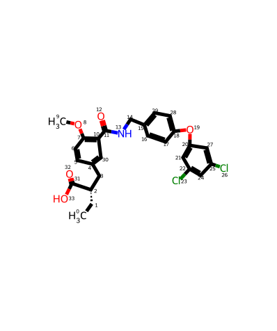 CC[C@@H](Cc1ccc(OC)c(C(=O)NCc2ccc(Oc3cc(Cl)cc(Cl)c3)cc2)c1)C(=O)O